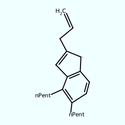 C=CCC1=Cc2c(ccc(CCCCC)c2CCCCC)[CH]1